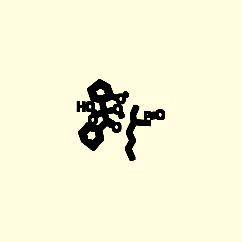 CCCCC(CC)CP=O.COc1ccccc1C(OC)(C(=O)O)C(=O)c1ccccc1